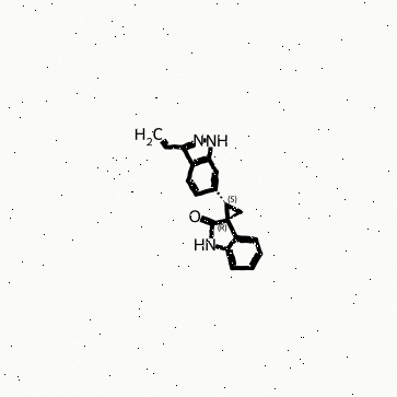 C=Cc1n[nH]c2cc([C@@H]3C[C@@]34C(=O)Nc3ccccc34)ccc12